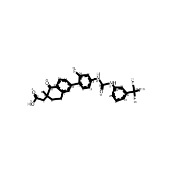 CC1(CC(=O)O)CCc2cc(-c3ccc(NC(=O)Nc4cccc(C(F)(F)F)c4)cc3F)ccc2C1=O